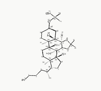 CC(C)CCC[C@@H](C)[C@H]1CC[C@H]2[C@@H]3C4OC(C)(C)O[C@@H]4[C@H]4CC(O[Si](C)(C)C(C)(C)C)CC[C@]4(C)[C@H]3CC[C@]12C